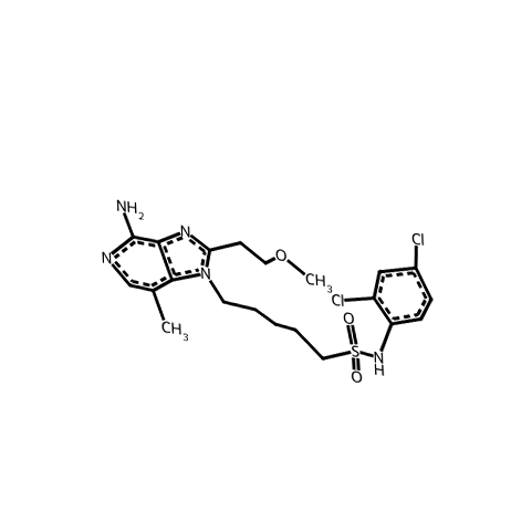 COCCc1nc2c(N)ncc(C)c2n1CCCCCS(=O)(=O)Nc1ccc(Cl)cc1Cl